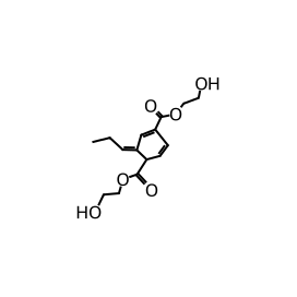 CCC=C1C=C(C(=O)OCCO)C=CC1C(=O)OCCO